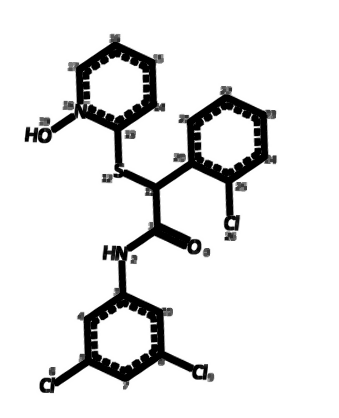 O=C(Nc1cc(Cl)cc(Cl)c1)C(Sc1cccc[n+]1O)c1ccccc1Cl